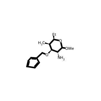 CC[C@H]1OC(OC)[C@H](N)[C@@H](OCc2ccccc2)[C@H]1C